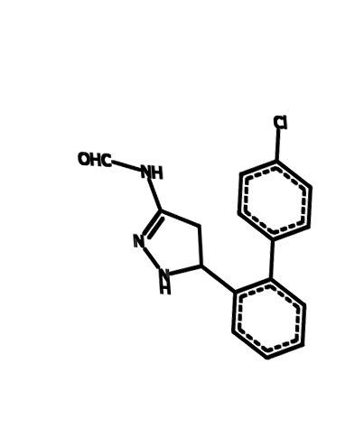 O=CNC1=NNC(c2ccccc2-c2ccc(Cl)cc2)C1